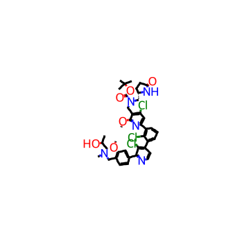 COc1cc(-c2nccc(-c3cccc(-c4cc(Cl)c(CN(C[C@@H]5CCC(=O)N5)C(=O)OC(C)(C)C)c(OC)n4)c3Cl)c2Cl)ccc1CN(C)CC(C)O